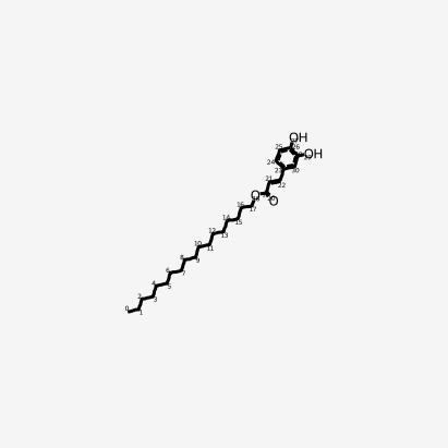 CCCCCCCCCCCCCCCCCCOC(=O)C=Cc1ccc(O)c(O)c1